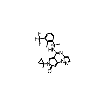 Cc1c([C@@H](C)Nc2nc3ccnn3c3cc(=O)n(C4(C)CC4)cc23)cccc1C(F)(F)F